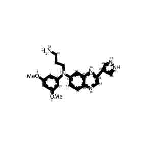 COc1cc(OC)cc(N(CCCN)c2ccc3ncc(-c4cn[nH]c4)nc3c2)c1